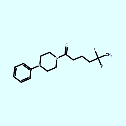 CC(F)(F)CCCC(=O)N1CCN(c2ccccc2)CC1